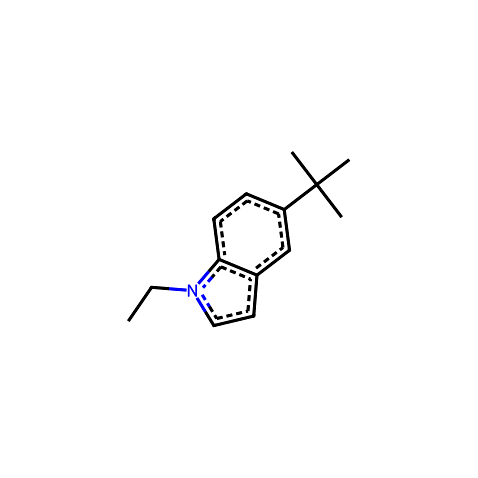 CCn1ccc2cc(C(C)(C)C)ccc21